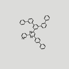 c1ccc(-c2ccc(-c3cc(-c4cc(-c5cccc(-c6ccccc6)c5)cc(-c5cccc(-c6ccccc6)c5)c4)nc(-c4cccnc4)n3)cc2)cc1